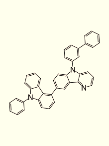 c1ccc(-c2cccc(-n3c4ccc(-c5cccc6c5c5ccccc5n6-c5ccccc5)cc4c4ncccc43)c2)cc1